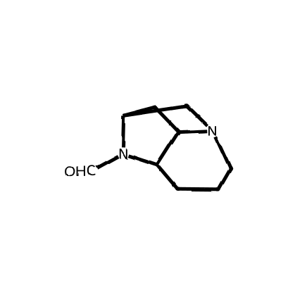 O=CN1C2CC3C1CCCN3C2